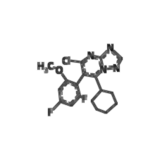 COc1cc(F)cc(F)c1-c1c(Cl)nc2ncnn2c1C1CCCCC1